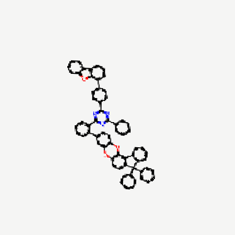 c1ccc(-c2nc(-c3ccc(-c4cccc5c4oc4ccccc45)cc3)nc(-c3ccccc3-c3ccc4c(c3)Oc3ccc5c(c3O4)-c3ccccc3C5(c3ccccc3)c3ccccc3)n2)cc1